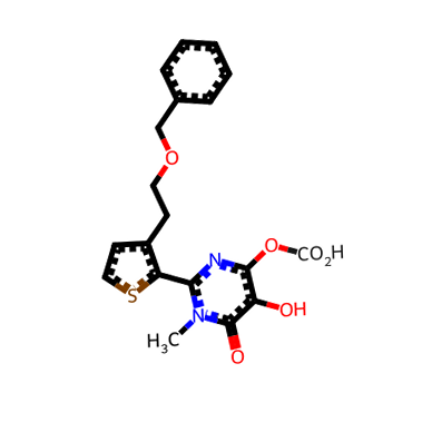 Cn1c(-c2sccc2CCOCc2ccccc2)nc(OC(=O)O)c(O)c1=O